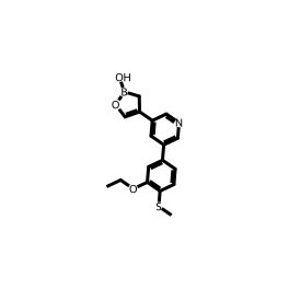 CCOc1cc(-c2cncc(C3=COB(O)C3)c2)ccc1SC